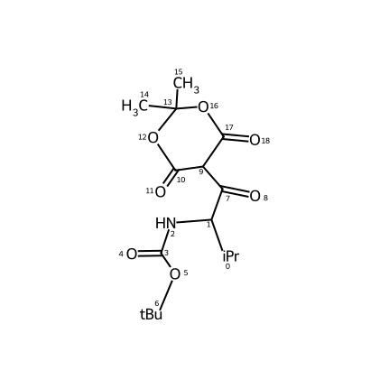 CC(C)C(NC(=O)OC(C)(C)C)C(=O)C1C(=O)OC(C)(C)OC1=O